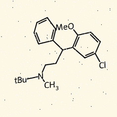 COc1ccc(Cl)cc1C(CCN(C)C(C)(C)C)c1ccccc1